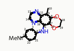 CNc1ccc(Nc2c3c(c(C)c4nccnc24)OCCO3)cc1